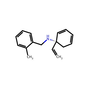 C=C[C@@]1(NCc2ccccc2C)C=CC=CC1